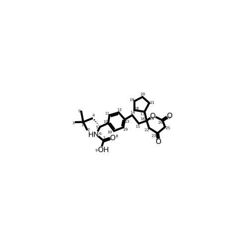 CC(C)(C)C[C@@H](NC(=O)O)c1ccc(CCC2(C3CCCC3)CC(=O)CC(=O)O2)cc1